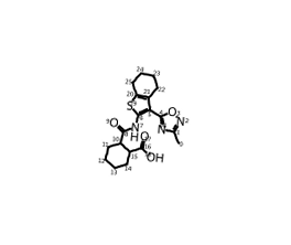 Cc1noc(-c2c(NC(=O)C3CCCCC3C(=O)O)sc3c2CCCC3)n1